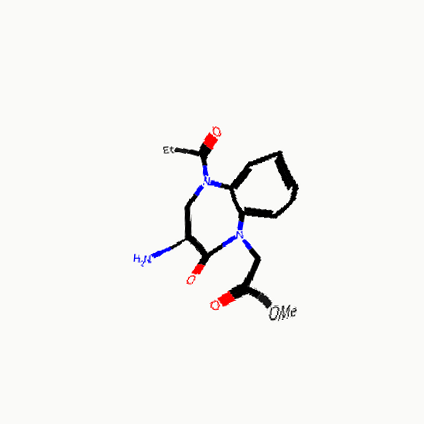 CCC(=O)N1C[C@H](N)C(=O)N(CC(=O)OC)c2ccccc21